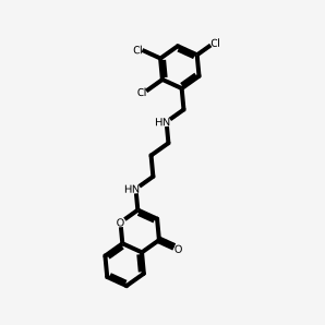 O=c1cc(NCCCNCc2cc(Cl)cc(Cl)c2Cl)oc2ccccc12